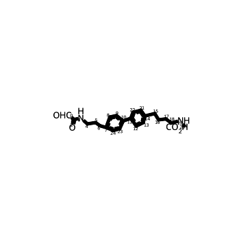 O=CC(=O)NCCCc1ccc(-c2ccc(CCCCNC(=O)O)cc2)cc1